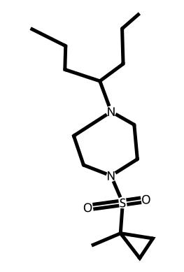 CCCC(CCC)N1CCN(S(=O)(=O)C2(C)CC2)CC1